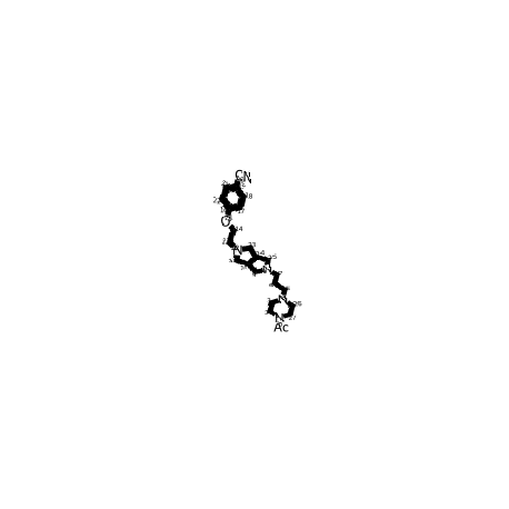 CC(=O)N1CCN(CCCN2CC3CN(CCOc4ccc(C#N)cc4)CC3C2)CC1